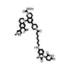 CNC(=O)N1CCc2cc(C3CCN(C(=O)CCCCCCNc4ccc5c(c4)n(C)c(=O)n5C4CCC(=O)NC4=O)CC3)cc(N3CCCc4cc(-c5cnn(C)c5)c(C(F)F)cc43)c2C1